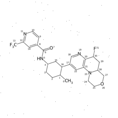 CC1CCC(NC(=O)c2ccnc(C(F)(F)F)c2)CC1c1cnc2c(c1)N1CCOCC1CC2F